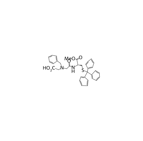 COC(=O)[C@@H](CSC(c1ccccc1)(c1ccccc1)c1ccccc1)NC(=O)CN(CC(=O)O)Cc1ccccc1